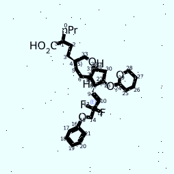 CCCC(CC[C@@H]1CC[C@@H]2[C@@H](/C=C/C(F)(F)COc3ccccc3)[C@H](OC3CCCCO3)C[C@@H]2OC1)C(=O)O